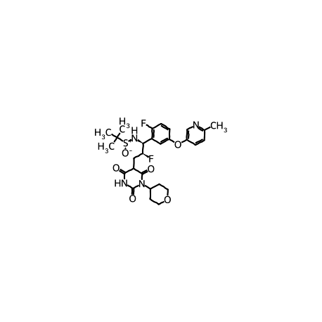 Cc1ccc(Oc2ccc(F)c([C@H](N[S@+]([O-])C(C)(C)C)[C@@H](F)CC3C(=O)NC(=O)N(C4CCOCC4)C3=O)c2)cn1